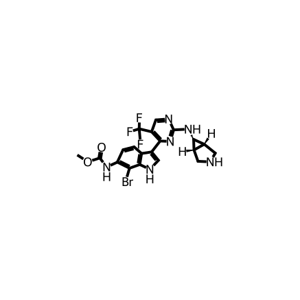 COC(=O)Nc1ccc2c(-c3nc(N[C@@H]4[C@@H]5CNC[C@@H]54)ncc3C(F)(F)F)c[nH]c2c1Br